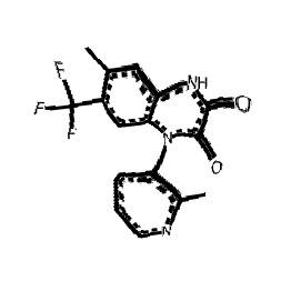 Cc1cc2[nH]c(=O)c(=O)n(-c3cccnc3C)c2cc1C(F)(F)F